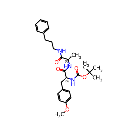 COc1ccc(C[C@H](NC(=O)OC(C)(C)C)C(=O)N[C@H](C)C(=O)NCCCc2ccccc2)cc1